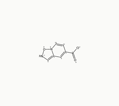 O=C(Cl)C1=CC2=CNON2C=C1